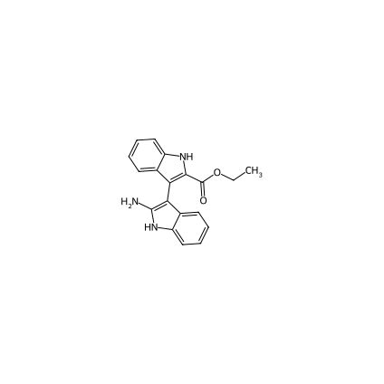 CCOC(=O)c1[nH]c2ccccc2c1-c1c(N)[nH]c2ccccc12